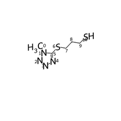 Cn1nnnc1SCCCS